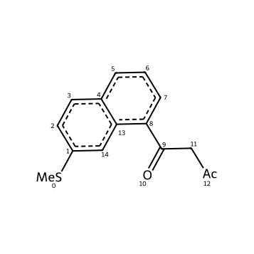 CSc1ccc2cccc(C(=O)CC(C)=O)c2c1